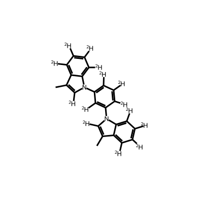 [2H]c1c([2H])c(-n2c([2H])c(C)c3c([2H])c([2H])c([2H])c([2H])c32)c([2H])c(-n2c([2H])c(C)c3c([2H])c([2H])c([2H])c([2H])c32)c1[2H]